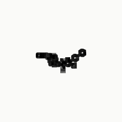 O=CC[C@@]1(O)CO[C@@H]2[C@H](Oc3nc4nc(-c5ccc(-c6ccccc6)cc5)c(Cl)cc4[nH]3)CO[C@@H]21